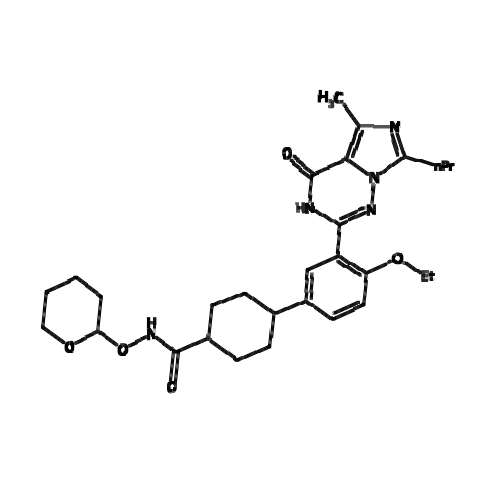 CCCc1nc(C)c2c(=O)[nH]c(-c3cc(C4CCC(C(=O)NOC5CCCCO5)CC4)ccc3OCC)nn12